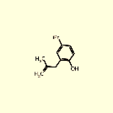 C=C(C)Cc1cc(C(C)C)ccc1O